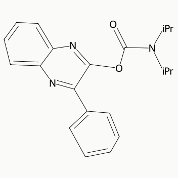 CC(C)N(C(=O)Oc1nc2ccccc2nc1-c1ccccc1)C(C)C